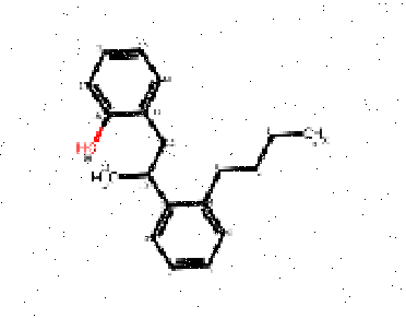 CCCCc1ccccc1C(C)Cc1ccccc1O